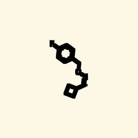 Fc1ccc(CO/N=[C]\C2CCC2)cc1